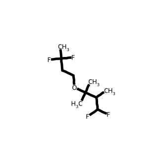 CC(C(F)F)C(C)(C)OCCC(C)(F)F